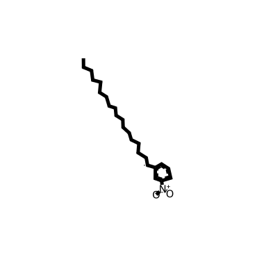 CCCCCCCCCCCCCCCCC[CH]c1cccc([N+](=O)[O-])c1